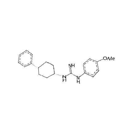 COc1ccc(NC(=N)N[C@H]2CC[C@@H](c3ccccc3)CC2)cc1